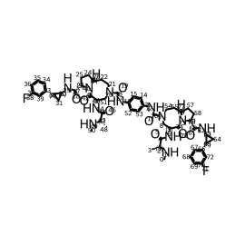 CN[C@@H](C)C(=O)N[C@H]1CN(C(=O)Nc2ccc(NC(=O)N3CC[C@H]4CC[C@@H](C(=O)N[C@H]5C[C@@H]5c5cccc(F)c5)N4C(=O)[C@@H](NC(=O)[C@H](C)NC)C3)cc2)CC[C@H]2CC[C@@H](C(=O)N[C@H]3C[C@@H]3c3cccc(F)c3)N2C1=O